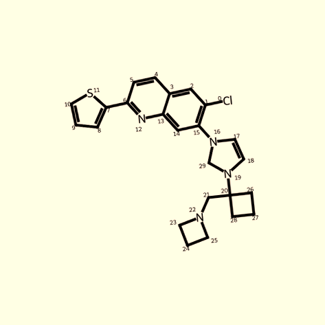 Clc1cc2ccc(-c3cccs3)nc2cc1N1C=CN(C2(CN3CCC3)CCC2)C1